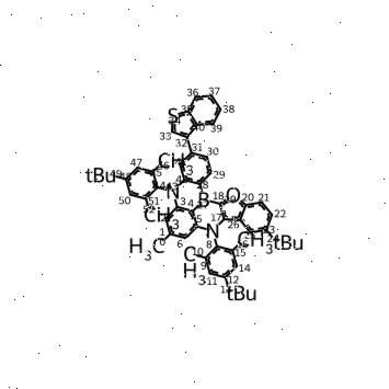 Cc1cc2c3c(c1)N(c1c(C)cc(C(C)(C)C)cc1C)c1c(oc4ccc(C(C)(C)C)cc14)B3c1ccc(-c3csc4ccccc34)cc1N2c1c(C)cc(C(C)(C)C)cc1C